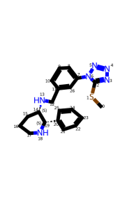 CSc1nnnn1-c1cccc(CN[C@H]2CCCN[C@H]2c2ccccc2)c1